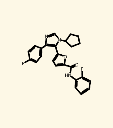 O=C(Nc1ccccc1F)c1ccc(-c2c(-c3ccc(F)cc3)ncn2C2CCCC2)o1